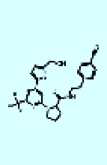 N#Cc1ccc(CCNC(=O)C2CCCN2c2cc(-c3ccc(CO)s3)nc(C(F)(F)F)n2)cc1